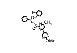 COc1ncc(-c2cc(C)nc([S+]([O-])CCC(OCc3ccccc3F)c3ccccc3)n2)cn1